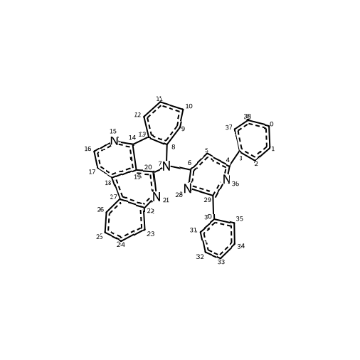 c1ccc(-c2cc(N3c4ccccc4-c4nccc5c4c3nc3ccccc35)nc(-c3ccccc3)n2)cc1